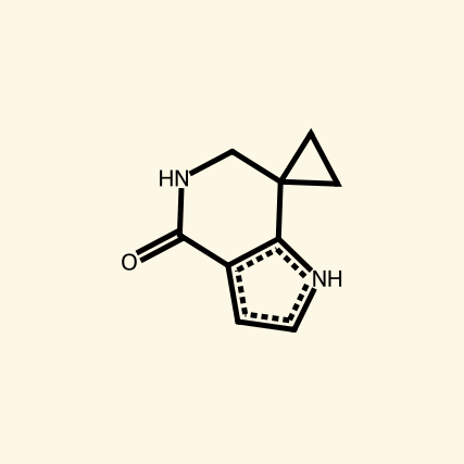 O=C1NCC2(CC2)c2[nH]ccc21